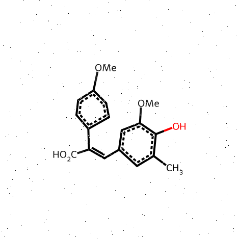 COc1ccc(/C(=C\c2cc(C)c(O)c(OC)c2)C(=O)O)cc1